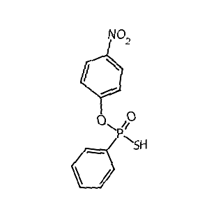 O=[N+]([O-])c1ccc(OP(=O)(S)c2ccccc2)cc1